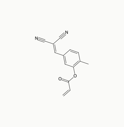 C=CC(=O)Oc1cc(C=C(C#N)C#N)ccc1C